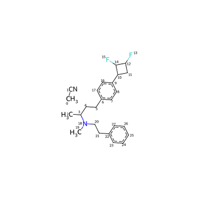 CC#N.CC(CCc1ccc(C2CC(F)C2F)cc1)N(C)CCc1ccccc1